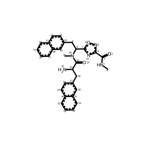 CNC(=O)c1noc(C(Cc2ccc3ccccc3c2)N(C)C(=O)C(N)Cc2ccc3ccccc3c2)n1